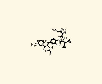 CCc1nonc1C(=O)N[C@H](C(=O)Nc1ccc([C@H](C)[C@@H](NC(=O)CF)C(=O)N2CCN[C@H](C)C2)cc1F)C(C1CC1)C1CC1